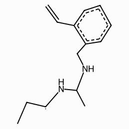 C=Cc1ccccc1CNC(C)N[CH]CC